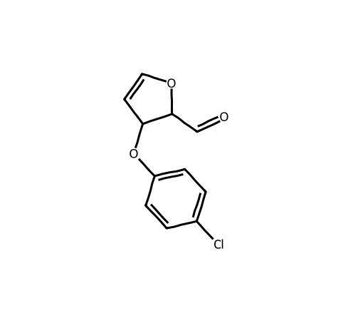 O=CC1OC=CC1Oc1ccc(Cl)cc1